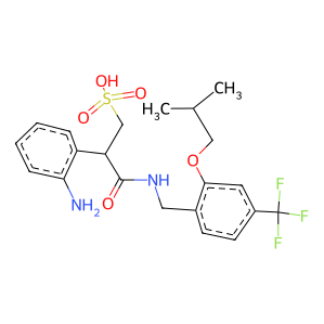 CC(C)COc1cc(C(F)(F)F)ccc1CNC(=O)C(CS(=O)(=O)O)c1ccccc1N